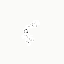 C[C@@H]1C[C@H](Oc2ccc3c(c2)CN(C2CCC(=O)NC2=O)C3=O)CN1